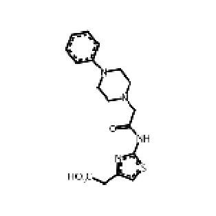 O=C(O)Cc1csc(NC(=O)CN2CCN(c3ccccc3)CC2)n1